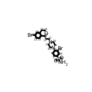 NS(=O)(=O)c1ccc(N2CCN(CC[C@@H]3OCCc4cc(Br)ccc43)CC2)c(Br)c1